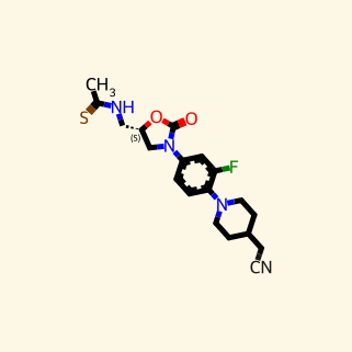 CC(=S)NC[C@H]1CN(c2ccc(N3CCC(CC#N)CC3)c(F)c2)C(=O)O1